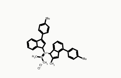 CC1=Cc2c(-c3ccc(C(C)(C)C)cc3)cccc2[CH]1[Zr+2]([CH]1C=C(c2ccc(C(C)(C)C)cc2)c2ccccc21)=[Si](C)C.[Cl-].[Cl-]